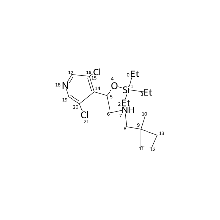 CC[Si](CC)(CC)OC(CNCC1(C)CCC1)c1c(Cl)cncc1Cl